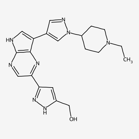 CCN1CCC(n2cc(-c3c[nH]c4ncc(-c5cc(CO)[nH]n5)nc34)cn2)CC1